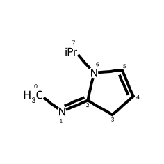 C/N=C1/CC=CN1C(C)C